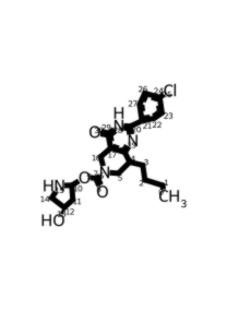 CCCCC1CN(C(=O)OC2C[C@@H](O)CN2)Cc2c1nc(-c1ccc(Cl)cc1)[nH]c2=O